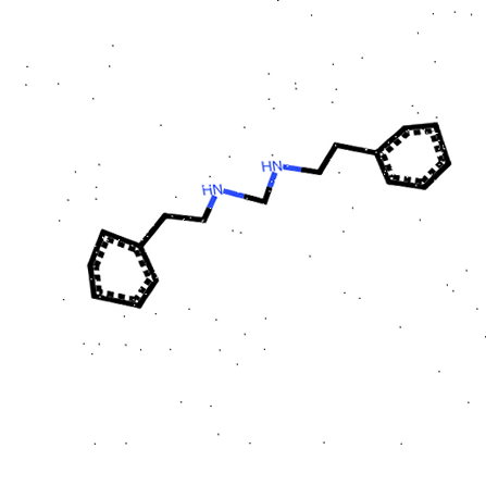 c1ccc(CCNCNCCc2ccccc2)cc1